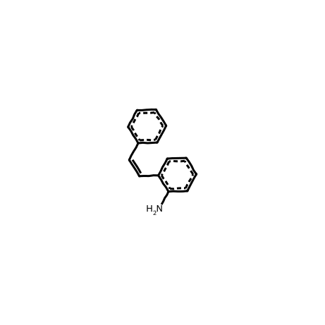 Nc1ccccc1/C=C\c1ccccc1